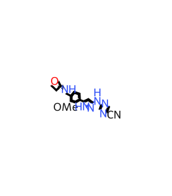 COc1cc(CN[C@@H]2CCOC2)ccc1-c1cc(Nc2cnc(C#N)cn2)n[nH]1